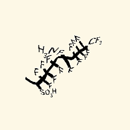 CC(C(F)(F)C(F)(F)C(F)(F)C(F)(F)C(F)(F)C(F)(F)C(F)(F)C(F)(F)F)S(=O)(=O)O.N